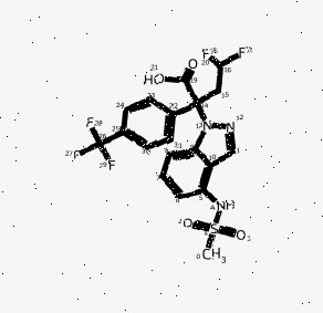 CS(=O)(=O)Nc1cccc2c1cnn2C(CC(F)F)(C(=O)O)c1ccc(C(F)(F)F)cc1